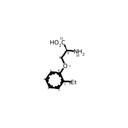 CCc1ccccc1OC[C@H](N)C(=O)O